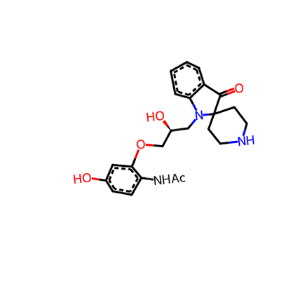 CC(=O)Nc1ccc(O)cc1OC[C@@H](O)CN1c2ccccc2C(=O)C12CCNCC2